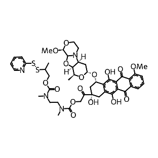 COc1cccc2c1C(=O)c1c(O)c3c(c(O)c1C2=O)C[C@@](O)(C(=O)COC(=O)N(C)CCN(C)C(=O)OCC(C)SSc1ccccn1)C[C@@H]3O[C@H]1C[C@H]2[C@H](OC3[C@@H](OC)OCCN32)[C@H](C)O1